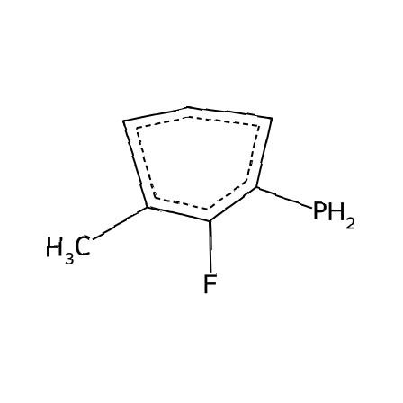 Cc1cccc(P)c1F